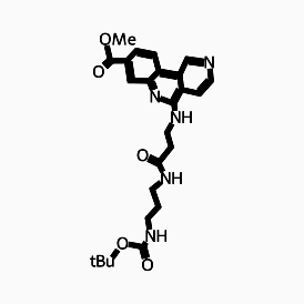 COC(=O)c1ccc2c(c1)nc(NCCC(=O)NCCCNC(=O)OC(C)(C)C)c1ccncc12